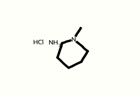 CN1CCCCC1.Cl.N